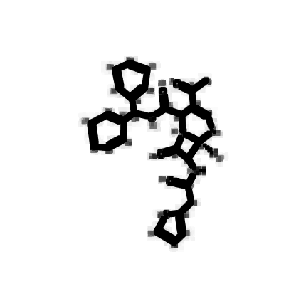 CC(=O)C1=CS[C@H]2C(NC(=O)Cc3cccs3)C(=O)N2C1C(=O)OC(c1ccccc1)c1ccccc1